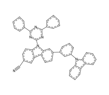 N#Cc1ccc2c(c1)c1ccc(-c3cccc(-n4c5ccccc5c5ccccc54)c3)cc1n2-c1nc(-c2ccccc2)nc(-c2ccccc2)n1